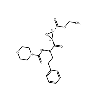 CCOC(=O)[C@H]1O[C@@H]1C(=O)N(CCc1ccccc1)NC(=O)N1CCOCC1